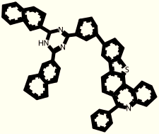 c1ccc(-c2nc3ccccc3c3c2ccc2c4cc(-c5cccc(C6=NC(c7ccc8ccccc8c7)NC(c7ccc8ccccc8c7)=N6)c5)ccc4sc23)cc1